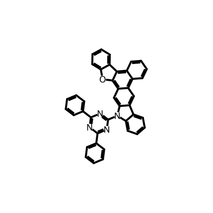 c1ccc(-c2nc(-c3ccccc3)nc(-n3c4ccccc4c4cc5c6ccccc6c6c7ccccc7oc6c5cc43)n2)cc1